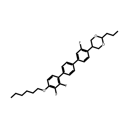 CCCCCCOc1ccc(-c2ccc(-c3ccc(C4COC(CCC)OC4)c(F)c3)cc2)c(F)c1F